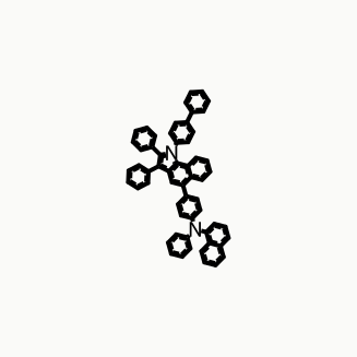 c1ccc(-c2ccc(-n3c(-c4ccccc4)c(-c4ccccc4)c4cc(-c5ccc(N(c6ccccc6)c6cccc7ccccc67)cc5)c5ccccc5c43)cc2)cc1